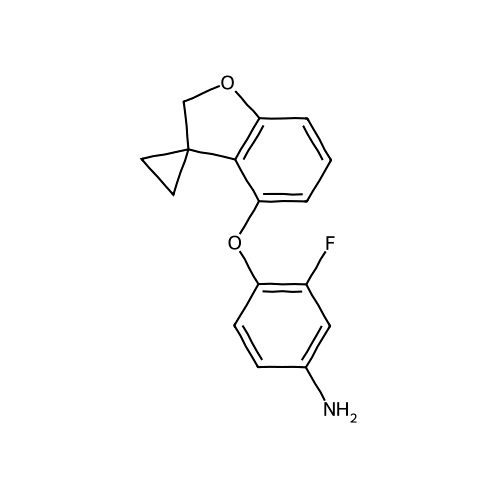 Nc1ccc(Oc2cccc3c2C2(CC2)CO3)c(F)c1